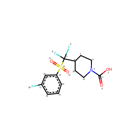 O=C(O)N1CCC(C(F)(F)S(=O)(=O)c2cccc(F)c2)CC1